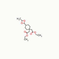 CCOC(=O)CC1(CC(=O)OCC)CCC(C2OC(C)O2)CC1